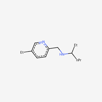 CCCC(CC)NCc1ccc(CC)cn1